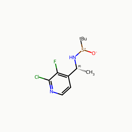 C[C@@H](N[S+]([O-])C(C)(C)C)c1ccnc(Cl)c1F